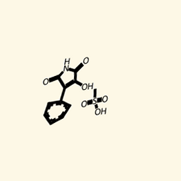 CS(=O)(=O)O.O=C1NC(=O)C(c2ccccc2)=C1O